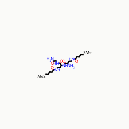 CSCCCCC(=O)NCCC(N)C(=O)NC(CCNC(=O)CCCCSC)C(=O)NCC(N)=O